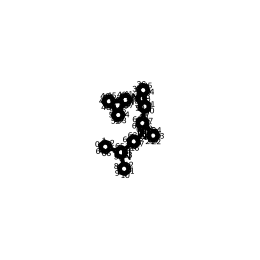 c1ccc(-c2cc(-c3ccccc3)nc(-c3ccc(-n4c5ccccc5c5cc(-c6ccc7c8ccccc8n(-c8ccc9c%10ccccc%10c%10ccccc%10c9c8)c7c6)ccc54)cc3)c2)cc1